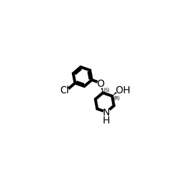 O[C@@H]1CNCC[C@@H]1Oc1cccc(Cl)c1